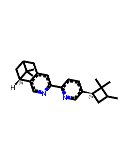 CC1C[C@@H](c2ccc(-c3cc4c(cn3)[C@@H]3CC(C4)C3(C)C)nc2)C1(C)C